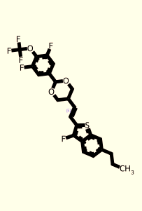 CCCc1ccc2c(F)c(/C=C/C3COC(c4cc(F)c(OC(F)(F)F)c(F)c4)OC3)sc2c1